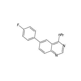 CCCc1ncnc2ccc(-c3ccc(F)cc3)cc12